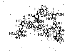 O.O.O.O.O=C[C@H](O)[C@@H](O)[C@H](O)[C@H](O)CO.OC[C@H]1O[C@@](CO)(O[C@H]2O[C@H](CO)[C@@H](O)[C@H](O)[C@H]2O)[C@@H](O)[C@@H]1O.OC[C@H]1O[C@H](OC[C@H]2O[C@H](OC[C@H]3O[C@H](O[C@]4(CO)O[C@H](CO)[C@@H](O)[C@@H]4O)[C@H](O)[C@@H](O)[C@@H]3O)[C@H](O)[C@@H](O)[C@H]2O)[C@H](O)[C@@H](O)[C@H]1O.OC[C@H]1O[C@H](OC[C@H]2O[C@H](O[C@]3(CO)O[C@H](CO)[C@@H](O)[C@@H]3O)[C@H](O)[C@@H](O)[C@@H]2O)[C@H](O)[C@@H](O)[C@H]1O